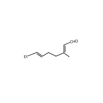 CCC=CCCC(C)=CC=O